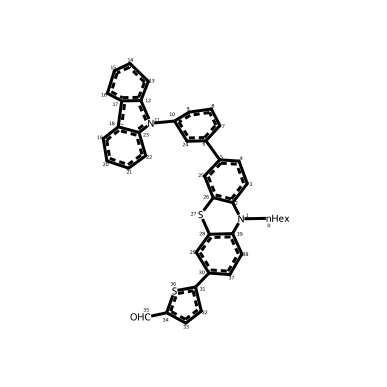 CCCCCCN1c2ccc(-c3cccc(-n4c5ccccc5c5ccccc54)c3)cc2Sc2cc(-c3ccc(C=O)s3)ccc21